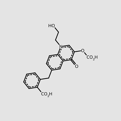 O=C(O)Oc1cn(CCO)c2ccc(Cc3ccccc3C(=O)O)cc2c1=O